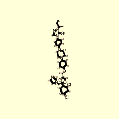 CC[C@@H](C)n1ncn(-c2ccc(N3CCN(c4ccc(OC[C@@H]5CO[C@](Cn6ccnc6)(c6ccc(Cl)cc6Cl)O5)cc4)CC3)cc2)c1=O